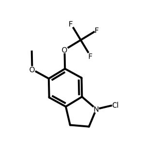 COc1cc2c(cc1OC(F)(F)F)N(Cl)CC2